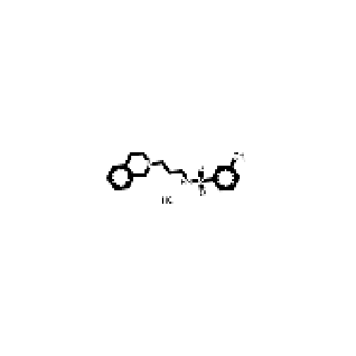 Cc1cccc(S(=O)(=O)NCCCN2CCc3ccccc3C2)c1.Cl